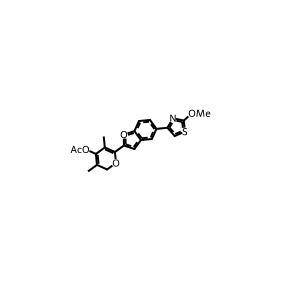 COc1nc(-c2ccc3oc(C4=C(C)C(OC(C)=O)=C(C)CO4)cc3c2)cs1